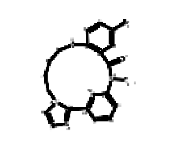 CN1C(=O)c2cc(Br)ccc2OCCCCn2cnnc2-c2cccc1n2